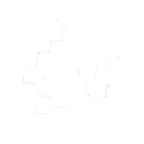 CC(=O)Nc1c(O)cccc1[As](=O)(O)O.Cc1ccc(-c2csc(NC(=O)c3ccncc3)n2)c(C)c1C